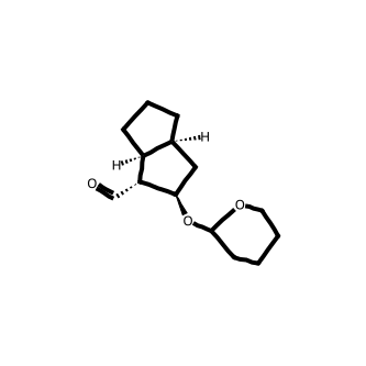 O=C[C@@H]1[C@H]2CCC[C@H]2C[C@H]1OC1CCCCO1